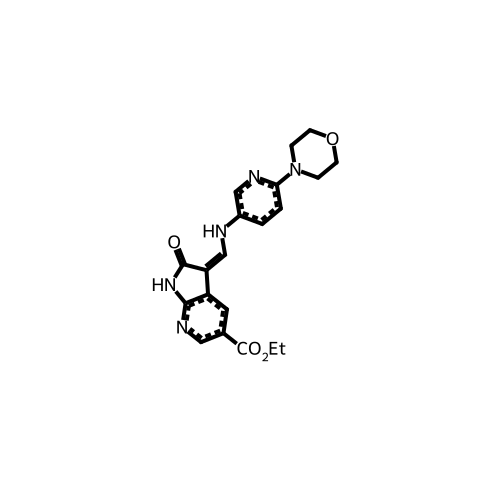 CCOC(=O)c1cnc2c(c1)C(=CNc1ccc(N3CCOCC3)nc1)C(=O)N2